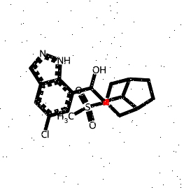 CS(=O)(=O)N1CC2CCC(C1)C2CC(O)c1cc(Cl)cc2cn[nH]c12